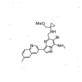 COCC1(NCc2nc3c(-c4cnc5ccc(C)cc5c4)cnn3c(N)c2Br)CC1